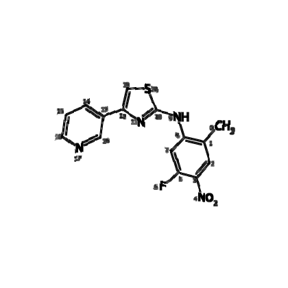 Cc1cc([N+](=O)[O-])c(F)cc1Nc1nc(-c2cccnc2)cs1